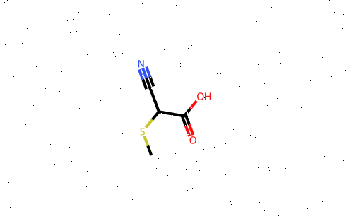 CSC(C#N)C(=O)O